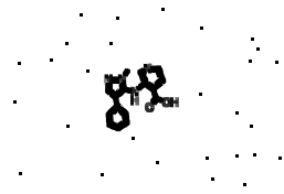 Cn1ncc(-c2ccccc2)c1Nc1cnccc1C(=O)O